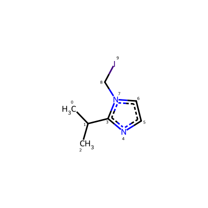 CC(C)c1nccn1CI